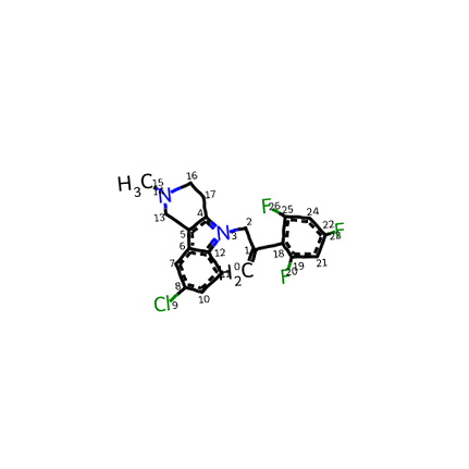 C=C(Cn1c2c(c3cc(Cl)ccc31)CN(C)CC2)c1c(F)cc(F)cc1F